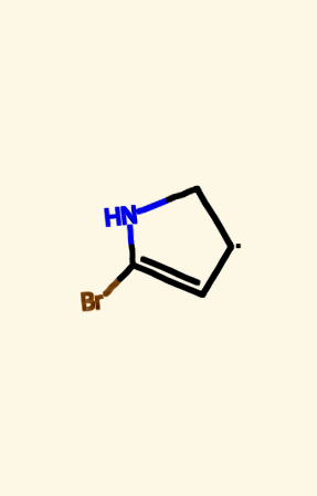 BrC1=C[CH]CN1